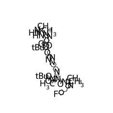 Cc1n[nH]c(Nc2ncnc3cc(OCCOc4cnc(N5CCC6(CCN(C[C@H]7CN(C(=O)OC(C)(C)C)[C@H](C)CN7CC(=O)N7CC(C)(C)c8ncc(Cc9ccc(F)cc9)cc87)CC6)CC5)nc4)c(S(=O)(=O)C(C)(C)C)cc23)c1C